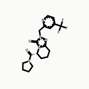 O=C([C@H]1CCCc2nn(Cc3cc(C(F)(F)F)ccn3)c(=O)n21)N1CCCC1